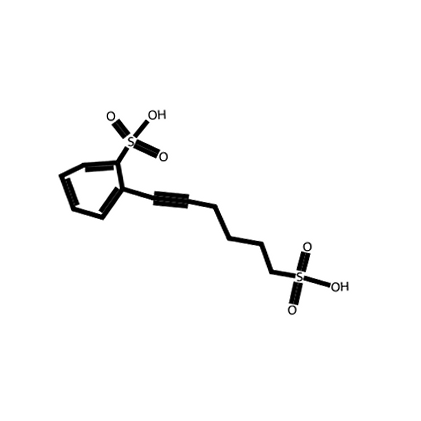 O=S(=O)(O)CCCCC#Cc1ccccc1S(=O)(=O)O